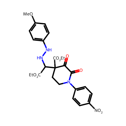 CCOC(=O)C(NNc1ccc(OC)cc1)C1(C(=O)OCC)CCN(c2ccc([N+](=O)[O-])cc2)C(=O)C1=O